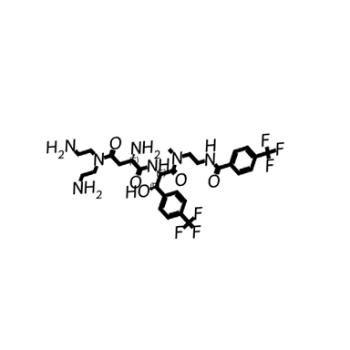 CN(CCNC(=O)c1ccc(C(F)(F)F)cc1)C(=O)[C@@H](NC(=O)[C@@H](N)CC(=O)N(CCN)CCN)[C@H](O)c1ccc(C(F)(F)F)cc1